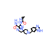 N#CCC1(n2cc(C(N)=O)c(NC(=O)C3CC3)n2)CCN(Cc2ccc3nc[nH]c3c2)CC1